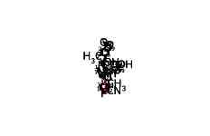 Cc1cc2c(cc1C(O)CN1CCN3C[C@@H](c4ccc(F)c(C#N)c4C)OC[C@@H]3C1)COC2=O.O=C(O)C(F)(F)F